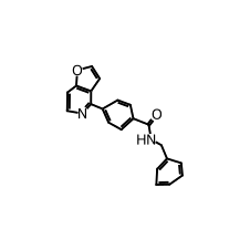 O=C(NCc1ccccc1)c1ccc(-c2nccc3occc23)cc1